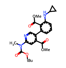 COC(=O)c1cc(N(C)C(=O)OC(C)(C)C)ncc1-c1cccc(NC2CC2)c1C(=O)OC